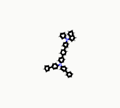 C1=CC(c2ccc(N(c3ccc(C4=CC=C(c5ccc(N(c6ccccc6)c6cccc7ccccc67)cc5)CC4)cc3)c3ccc(-c4ccccc4)cc3)cc2)=CCC1